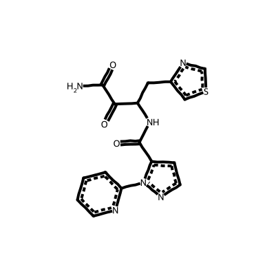 NC(=O)C(=O)C(Cc1cscn1)NC(=O)c1ccnn1-c1ccccn1